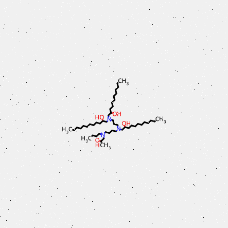 CCCCCCCCCCC(O)CN(CCCCN(CCCC)CC(C)O)CCCN(CC(O)CCCCCCCCCC)CC(O)CCCCCCCCCC